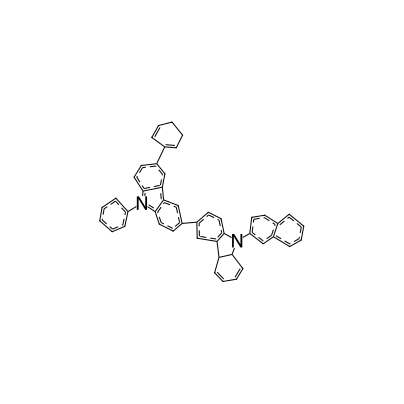 C1=CC2c3cc(-c4ccc5c(c4)c4cc(C6=CCCC=C6)ccc4n5-c4ccccc4)ccc3N(c3ccc4ccccc4c3)C2C=C1